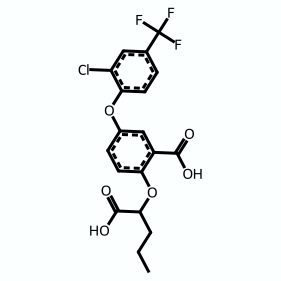 CCCC(Oc1ccc(Oc2ccc(C(F)(F)F)cc2Cl)cc1C(=O)O)C(=O)O